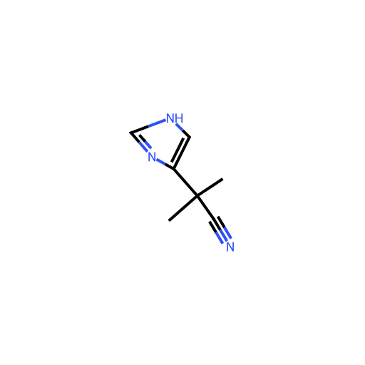 CC(C)(C#N)c1c[nH]cn1